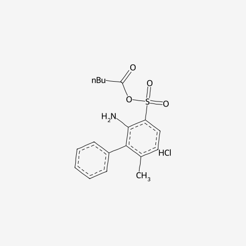 CCCCC(=O)OS(=O)(=O)c1ccc(C)c(-c2ccccc2)c1N.Cl